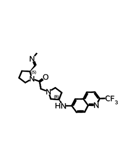 CN=C[C@@H]1CCCN1C(=O)CN1CC[C@@H](Nc2ccc3nc(C(F)(F)F)ccc3c2)C1